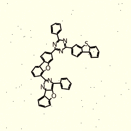 c1ccc(-c2nc(-c3ccc4c(c3)oc3c(-c5nc(-c6ccccc6)c6oc7ccccc7c6n5)cccc34)nc(-c3ccc4c(c3)sc3ccccc34)n2)cc1